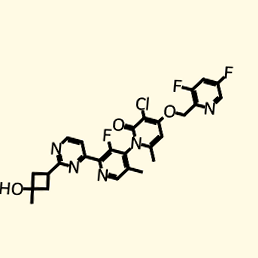 Cc1cnc(-c2ccnc(C3CC(C)(O)C3)n2)c(F)c1-n1c(C)cc(OCc2ncc(F)cc2F)c(Cl)c1=O